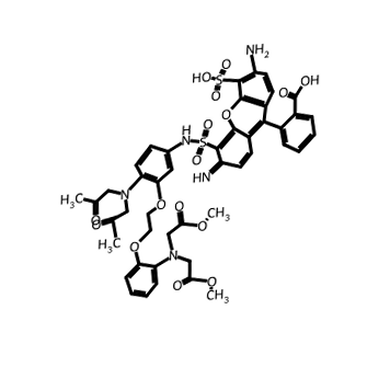 COC(=O)CN(CC(=O)OC)c1ccccc1OCCOc1cc(NS(=O)(=O)c2c3oc4c(S(=O)(=O)O)c(N)ccc4c(-c4ccccc4C(=O)O)c-3ccc2=N)ccc1N(CC(C)=O)CC(C)=O